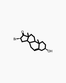 CC12CCC3C(CC=C4C[C@H](O)CCC43C)C1C[C@@H](Br)C2=O